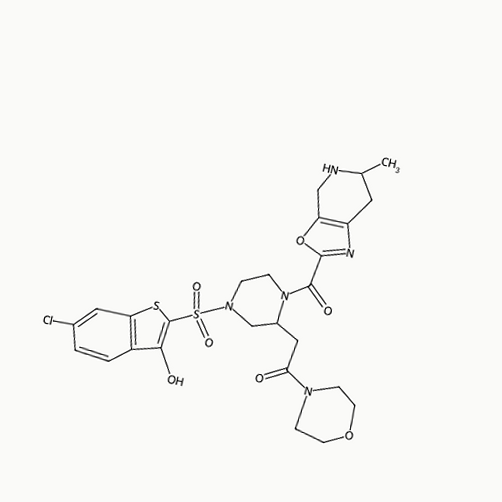 CC1Cc2nc(C(=O)N3CCN(S(=O)(=O)c4sc5cc(Cl)ccc5c4O)CC3CC(=O)N3CCOCC3)oc2CN1